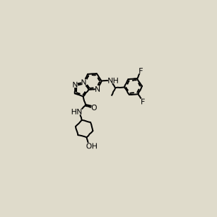 CC(Nc1ccn2ncc(C(=O)NC3CCC(O)CC3)c2n1)c1cc(F)cc(F)c1